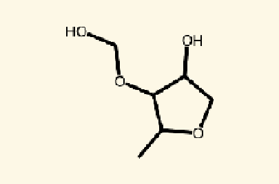 CC1OCC(O)C1OCO